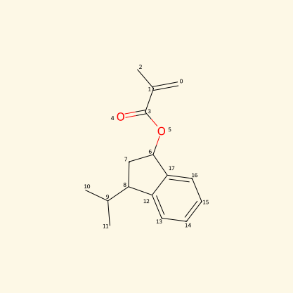 C=C(C)C(=O)OC1CC(C(C)C)c2ccccc21